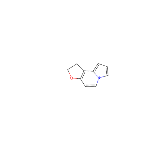 c1cc2c3c(ccn2c1)OCC3